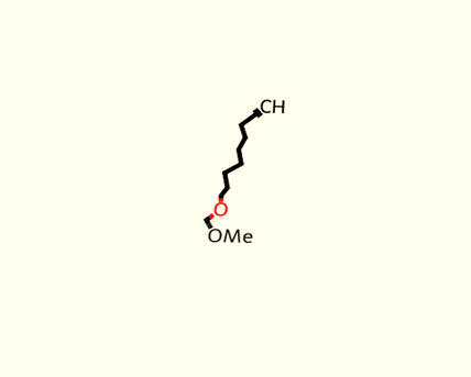 C#CCCCCCCCOCOC